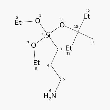 CCO[Si](CCCN)(OCC)OC(C)(CC)CC